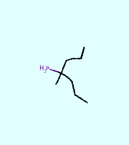 CCCC(C)(P)CCC